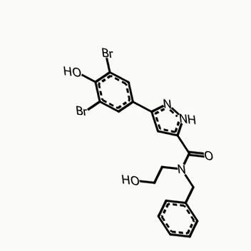 O=C(c1cc(-c2cc(Br)c(O)c(Br)c2)n[nH]1)N(CCO)Cc1ccccc1